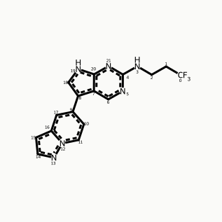 FC(F)(F)CCNc1ncc2c(-c3ccn4nccc4c3)c[nH]c2n1